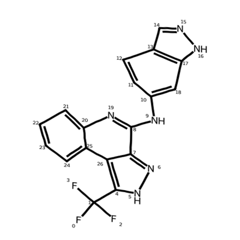 FC(F)(F)c1[nH]nc2c(Nc3ccc4cn[nH]c4c3)nc3ccccc3c12